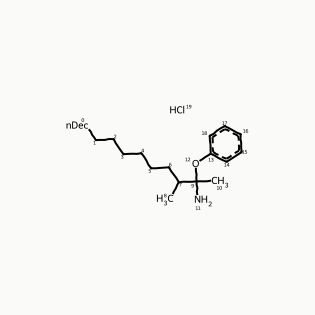 CCCCCCCCCCCCCCCCC(C)C(C)(N)Oc1ccccc1.Cl